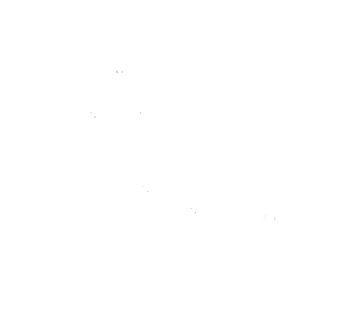 CSc1ncc2c(N3C[C@@H](C)N(C(=O)OC(C)(C)C)[C@@H](C)C3)cccc2n1